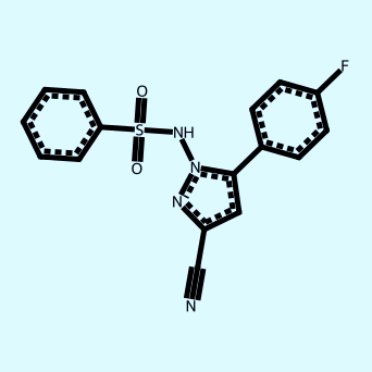 N#Cc1cc(-c2ccc(F)cc2)n(NS(=O)(=O)c2ccccc2)n1